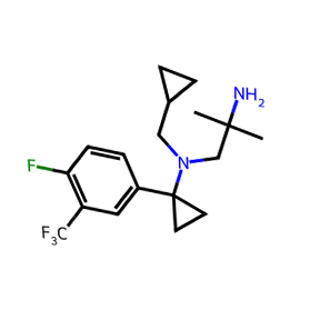 CC(C)(N)CN(CC1CC1)C1(c2ccc(F)c(C(F)(F)F)c2)CC1